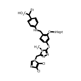 CCCCCCCOc1cc(Sc2nnc(Cn3cnc(Cl)c3Cl)n2C)ccc1CNc1ccc(C(CC)C(=O)O)cc1